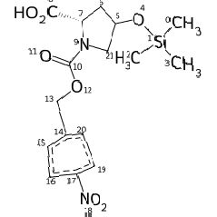 C[Si](C)(C)OC1C[C@@H](C(=O)O)N(C(=O)OCc2ccc([N+](=O)[O-])cc2)C1